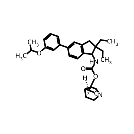 CCC1(CC)Cc2cc(-c3cccc(OC(C)C)c3)ccc2C1NC(=O)O[C@H]1CN2CCC1CC2